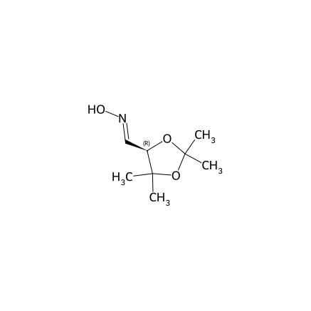 CC1(C)O[C@H](C=NO)C(C)(C)O1